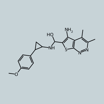 COc1ccc(C2CC2NC(O)c2sc3nnc(C)c(C)c3c2N)cc1